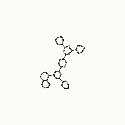 c1ccc(-c2nc(-c3ccccc3)nc(-c3ccc(-c4cc(-c5cccc6ccccc56)cc(-c5ccccn5)n4)nc3)n2)cc1